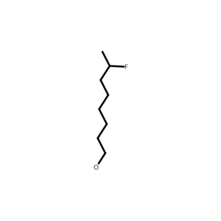 CC(F)CCCCCC[O]